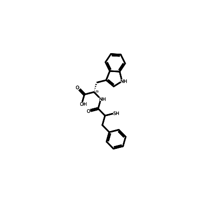 O=C(N[C@@H](Cc1c[nH]c2ccccc12)C(=O)O)C(S)Cc1ccccc1